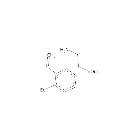 C=Cc1ccccc1CC.CCCCCCCCCCN